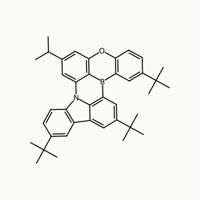 CC(C)c1cc2c3c(c1)-n1c4ccc(C(C)(C)C)cc4c4cc(C(C)(C)C)cc(c41)B3c1cc(C(C)(C)C)ccc1O2